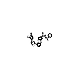 CC(CN(C)C1CCCCC1)Nc1ccc2c(c1)Sc1cccc(C3CN(c4cc[nH]c(=O)c4)CCO3)c1S2